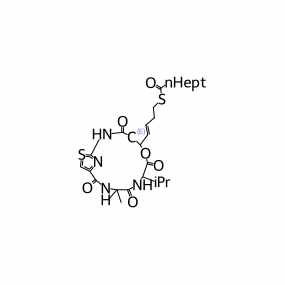 CCCCCCCC(=O)SCC/C=C/C1CC(=O)NCc2nc(cs2)C(=O)NC(C)(C)C(=O)NC(C(C)C)C(=O)O1